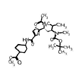 COC(=O)C1CCC(NC(=O)c2csc([C@@H](C[C@@H](C(C)C)N(C)C(=O)OC(C)(C)C)OC(C)=O)n2)CC1